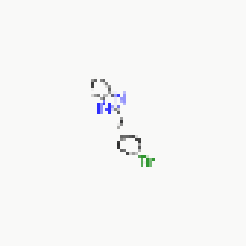 Brc1ccc(C=Cc2nc3ccccc3[nH]2)cc1